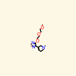 COCCOCCOc1nsnc1C1=CCCN(C)C1